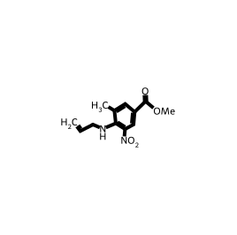 C=CCNc1c(C)cc(C(=O)OC)cc1[N+](=O)[O-]